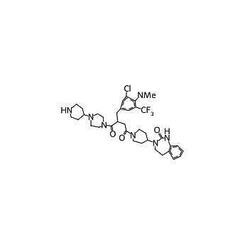 CNc1c(Cl)cc(CC(CC(=O)N2CCC(N3CCc4ccccc4NC3=O)CC2)C(=O)N2CCN(C3CCNCC3)CC2)cc1C(F)(F)F